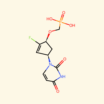 O=c1ccn([C@H]2C=C(F)[C@@H](OCP(=O)(O)O)C2)c(=O)[nH]1